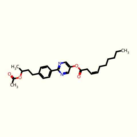 CCCCCC/C=C\CC(=O)Oc1cnc(-c2ccc(CCC(C)OC(C)=O)cc2)nc1